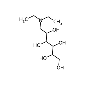 CCN(CC)CC(O)C(O)C(O)C(O)CO